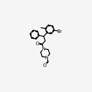 Cc1ccc(Br)cc1C(CC(=O)N1CCN(C=O)CC1)c1ccccc1